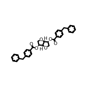 O=C(O[C@H]1CO[C@@H]2[C@H]1OC[C@H]2OC(=O)c1ccc(Cc2ccccc2)cc1)c1ccc(Cc2ccccc2)cc1